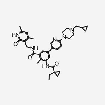 CCC1(C(=O)Nc2cc(-c3ccc(N4CCN(CC5CC5)CC4)nc3)cc(C(=O)NCc3c(C)cc(C)[nH]c3=O)c2C)CC1